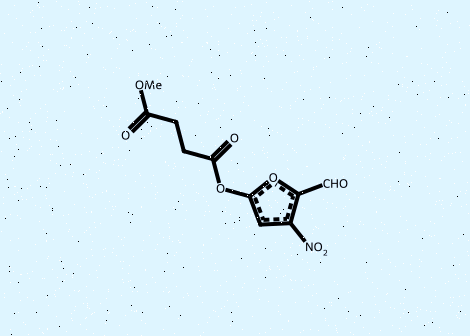 COC(=O)CCC(=O)Oc1cc([N+](=O)[O-])c(C=O)o1